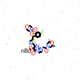 CCCCOc1c(-c2ncc(Cc3ccc(F)cc3S(=O)(=O)N3CCOCC3)s2)nc2n(CC(=O)N3C[C@H](C)O[C@@H](C)C3)ccn2c1=O